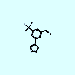 O=Cc1cc(-c2ccsc2)cc(C(F)(F)F)c1